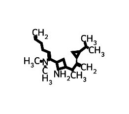 C=CCC/C=C(/C1CC(C(C)C(=C)[C@H]2CC2C(C)C)[C@@H]1N)N(C)C